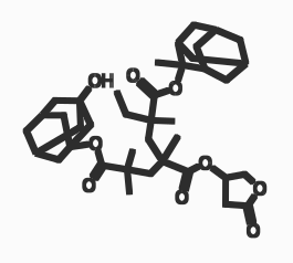 CCC(C)(CC(C)(CC(C)(C)C(=O)OC12CC3CC(CC(O)(C3)C1)C2)C(=O)OC1COC(=O)C1)C(=O)OC1(C)C2CC3CC(C2)CC1C3